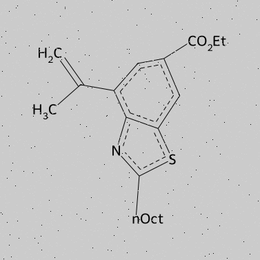 C=C(C)c1cc(C(=O)OCC)cc2sc(CCCCCCCC)nc12